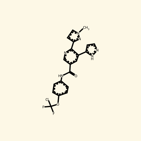 Cn1ccc(-c2ncc(C(=O)Nc3ccc(OC(F)(F)Cl)cc3)cc2-c2ccn[nH]2)n1